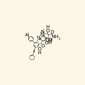 CN(C)c1ccc(-c2cc(C#CC3=CCCCC3)c(O)c3c2C[C@H]2C[C@H]4C(N(C)C)C(O)=C(C(N)=O)C(=O)[C@@]4(O)C(O)=C2C3=O)cc1